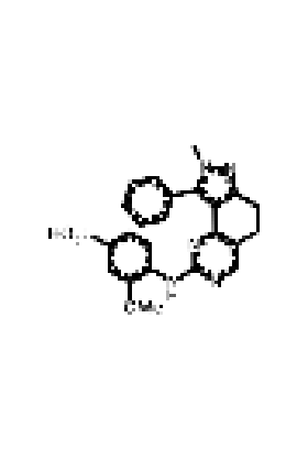 COc1cc(C(=O)O)ccc1Nc1ncc2c(n1)-c1c(nn(C)c1-c1ccccc1)CC2